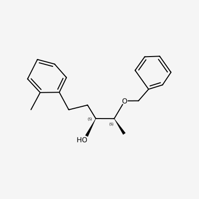 Cc1ccccc1CC[C@H](O)[C@H](C)OCc1ccccc1